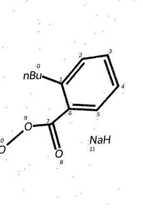 CCCCc1ccccc1C(=O)OO.[NaH]